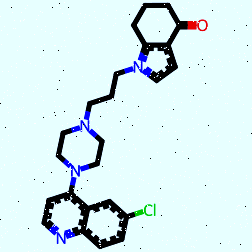 O=C1CCCc2c1ccn2CCCN1CCN(c2ccnc3ccc(Cl)cc23)CC1